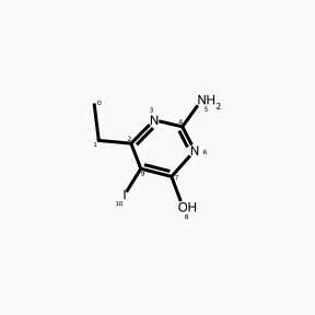 CCc1nc(N)nc(O)c1I